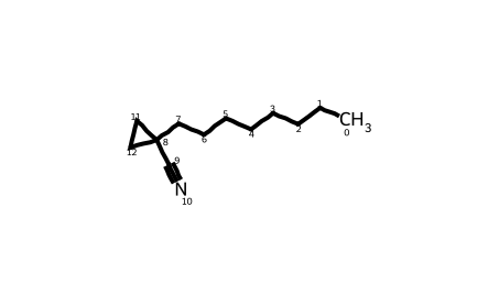 CCCCCCCCC1(C#N)CC1